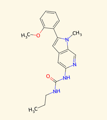 CCCNC(=O)Nc1cc2cc(-c3ccccc3OC)n(C)c2cn1